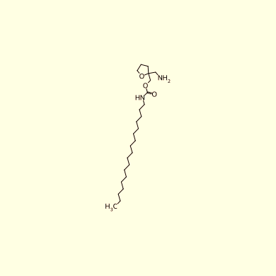 CCCCCCCCCCCCCCCCCCNC(=O)OCC1(CN)CCCO1